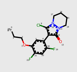 CC(C)CCOc1cc(-c2c(Cl)n3n(c2=O)CCCC3)c(F)cc1F